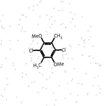 COc1c(C)c(Cl)c(OC)c(C)c1Cl